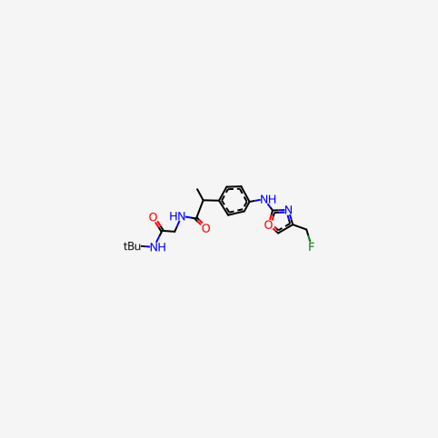 CC(C(=O)NCC(=O)NC(C)(C)C)c1ccc(Nc2nc(CF)co2)cc1